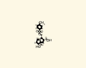 Cc1ccc(S(=O)(=O)OC[C@@H]2[C@H](CO)C[C@]3(CO)CCCN23)cc1